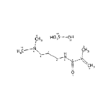 C=C(C)C(=O)NCCCN(C)C.O=S(=O)(O)O